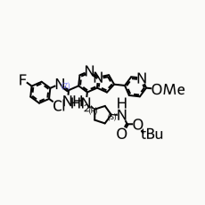 COc1ccc(-c2cc3c(N[C@@H]4CC[C@H](NC(=O)OC(C)(C)C)C4)c(/C(N)=N/c4cc(F)ccc4Cl)cnn3c2)cn1